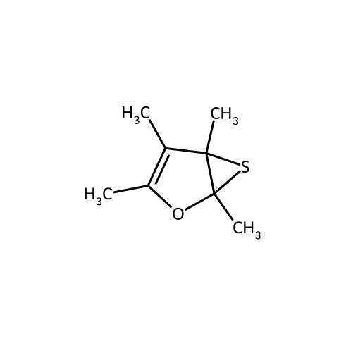 CC1=C(C)C2(C)SC2(C)O1